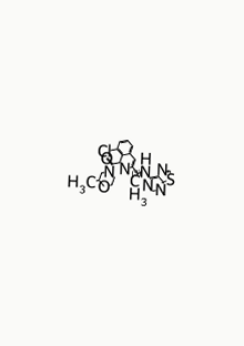 CC1CN(C(=O)c2nc([C@H](C)Nc3ncnc4scnc34)cc3cccc(Cl)c23)CCO1